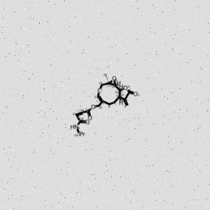 C=C1C(=O)O[C@H]2[C@H]1CC/C(COC(=O)/C=C\C(=O)NC(C)C)=C\CC[C@@]1(C)O[C@@H]21